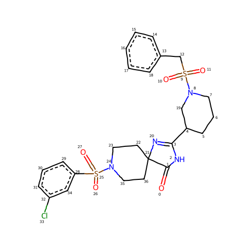 O=C1NC(C2CCCN(S(=O)(=O)Cc3ccccc3)C2)=NC12CCN(S(=O)(=O)c1cccc(Cl)c1)CC2